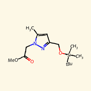 COC(=O)Cn1nc(CO[Si](C)(C)C(C)(C)C)cc1C